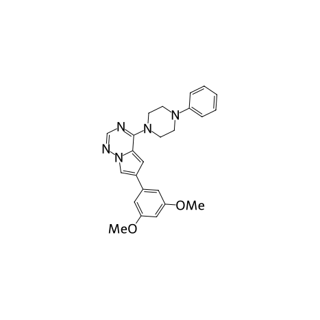 COc1cc(OC)cc(-c2cc3c(N4CCN(c5ccccc5)CC4)ncnn3c2)c1